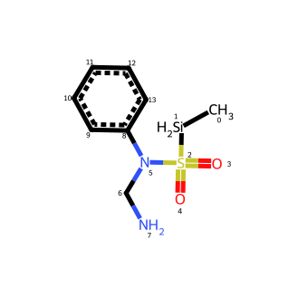 C[SiH2]S(=O)(=O)N(CN)c1ccccc1